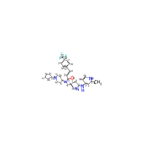 Cc1cc(Nc2ccc(CN(C(=O)C=Cc3ccc(C(F)(F)F)cc3)C3CCN(C4CCCC4)CC3)cn2)ccn1